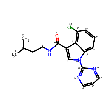 CC(C)CCNC(=O)c1cn(-c2ncccn2)c2cccc(Cl)c12